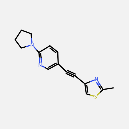 Cc1nc(C#Cc2ccc(N3CCCC3)nc2)cs1